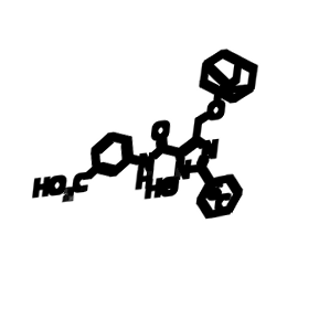 O=C(O)c1cccc(NC(=O)c2c(COC34CC5CC(CC(C5)C3)C4)nc(C34CCC(CC3)CC4)n2O)c1